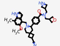 COc1cc(C)c2[nH]ccc2c1CN1CCC2(CC(C#N)C2)CC1c1ccc(C(=O)N(CC2CNC2)CC2COC2)cc1